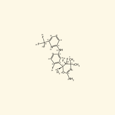 CC1(C)N=C(N)O[C@](C)(c2cc(Nc3cccc(C(F)(F)F)n3)ccc2F)C1(F)F